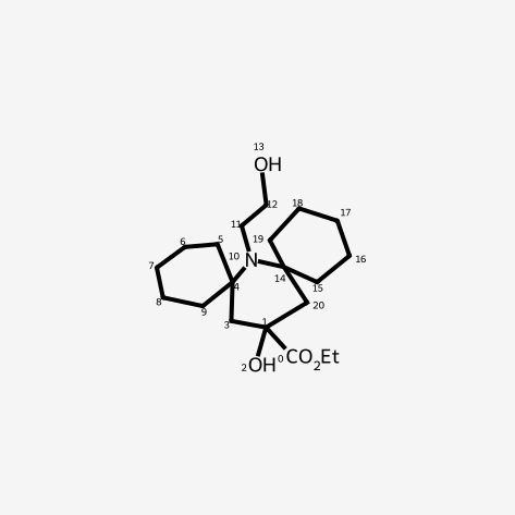 CCOC(=O)C1(O)CC2(CCCCC2)N(CCO)C2(CCCCC2)C1